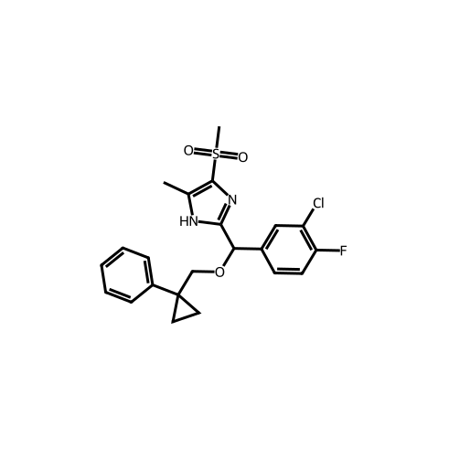 Cc1[nH]c(C(OCC2(c3ccccc3)CC2)c2ccc(F)c(Cl)c2)nc1S(C)(=O)=O